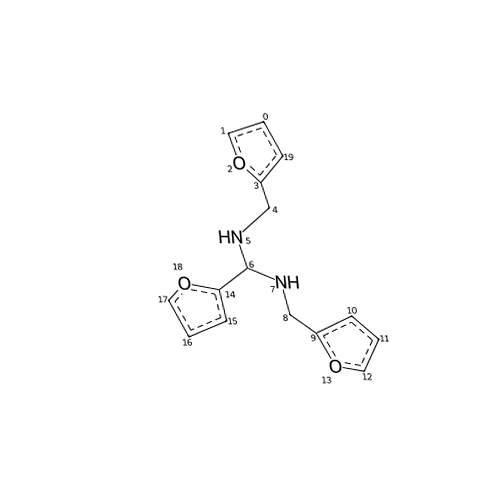 c1coc(CNC(NCc2ccco2)c2ccco2)c1